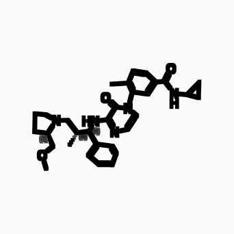 COC[C@H]1CCCN1C[C@@H](C)[C@@H](Nc1nccn(-c2cc(C(=O)NC3CC3)ccc2C)c1=O)c1ccccc1